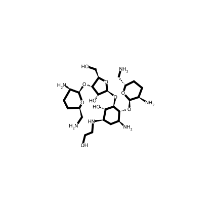 NC[C@@H]1CC[C@@H](N)[C@@H](O[C@H]2[C@H](O[C@@H]3O[C@H](CO)[C@@H](O[C@H]4O[C@@H](CN)CC[C@H]4N)[C@H]3O)[C@@H](O)[C@H](NCCO)C[C@@H]2N)O1